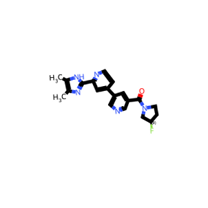 Cc1nc(-c2cc(-c3cncc(C(=O)N4CC[C@@H](F)C4)c3)ccn2)[nH]c1C